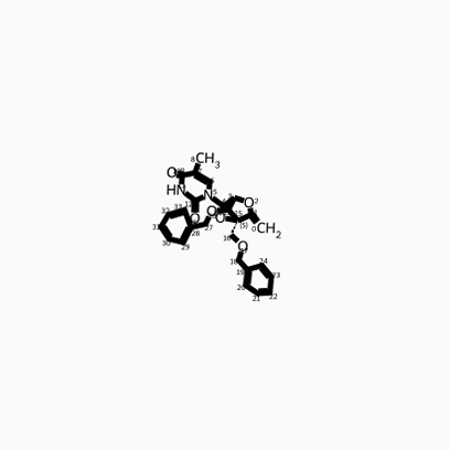 C=C1OC2C(n3cc(C)c(=O)[nH]c3=O)O[C@@]1(COCc1ccccc1)C2OCc1ccccc1